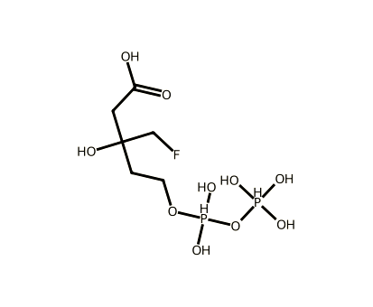 O=C(O)CC(O)(CF)CCO[PH](O)(O)O[PH](O)(O)O